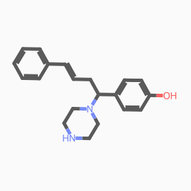 Oc1ccc(C(CC=Cc2ccccc2)N2CCNCC2)cc1